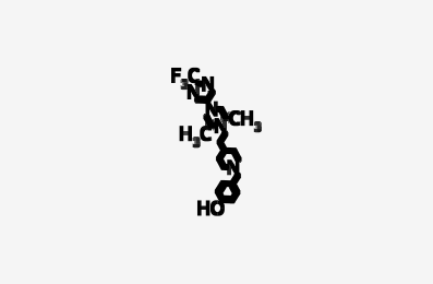 C[C@@H]1CN(c2cnc(C(F)(F)F)nc2)C[C@H](C)N1CCC1CCN(Cc2ccc(O)cc2)CC1